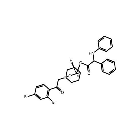 O=C(C[N+]12CCC(CC1)[C@@H](OC(=O)C(Nc1ccccc1)c1ccccc1)C2)c1ccc(Br)cc1Br